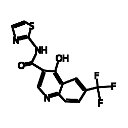 O=C(Nc1nccs1)c1cnc2ccc(C(F)(F)F)cc2c1O